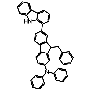 c1ccc(CC2c3cc(-c4cccc5c4[nH]c4ccccc45)ccc3-c3ccc(N(c4ccccc4)c4ccccc4)cc32)cc1